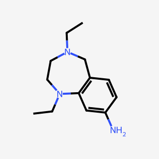 CCN1CCN(CC)c2cc(N)ccc2C1